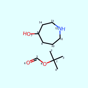 CC(C)(C)OC=O.OC1CCCNCC1